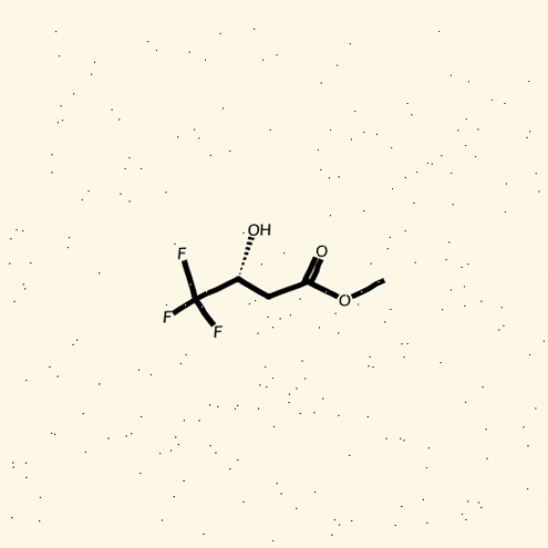 COC(=O)C[C@@H](O)C(F)(F)F